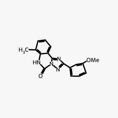 COc1cccc(-c2nc3c4cccc(C)c4[nH]c(=O)n3n2)c1